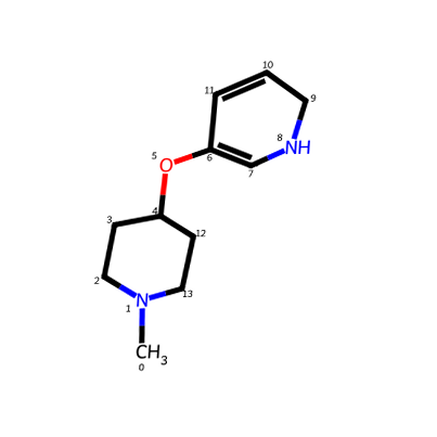 CN1CCC(OC2=[C]NCC=C2)CC1